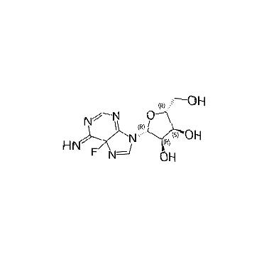 N=C1N=CN=C2N([C@@H]3O[C@H](CO)[C@@H](O)[C@H]3O)C=NC12F